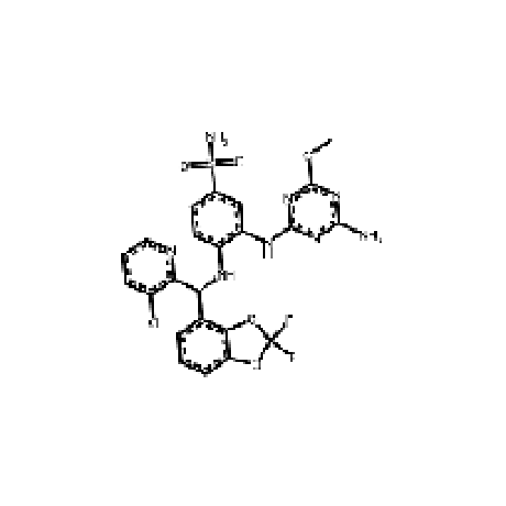 COc1nc(N)nc(Nc2cc(S(N)(=O)=O)ccc2N[C@@H](c2cccc3c2OC(F)(F)O3)c2ncccc2Cl)n1